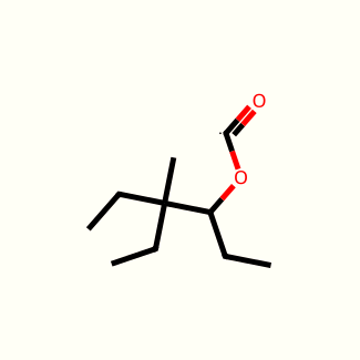 CCC(O[C]=O)C(C)(CC)CC